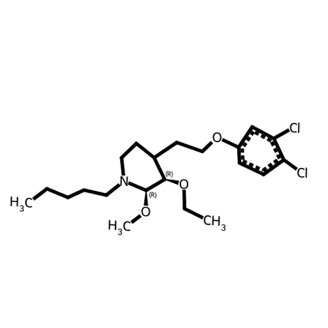 CCCCCN1CCC(CCOc2ccc(Cl)c(Cl)c2)[C@@H](OCC)[C@H]1OC